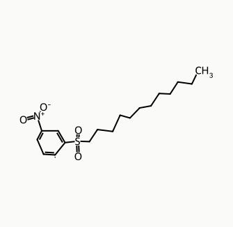 CCCCCCCCCCCCS(=O)(=O)c1[c]ccc([N+](=O)[O-])c1